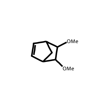 COC1C2C=CC(C2)C1OC